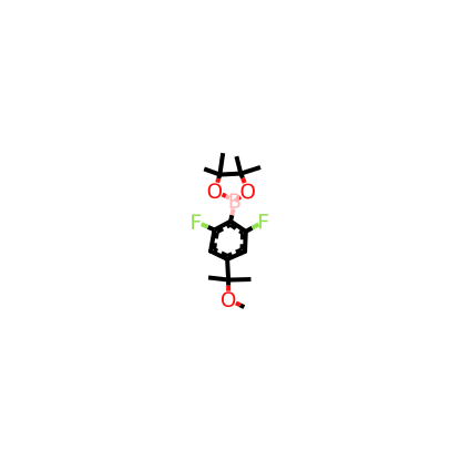 COC(C)(C)c1cc(F)c(B2OC(C)(C)C(C)(C)O2)c(F)c1